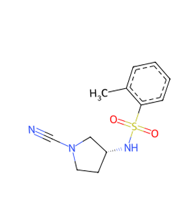 Cc1ccccc1S(=O)(=O)N[C@@H]1CCN(C#N)C1